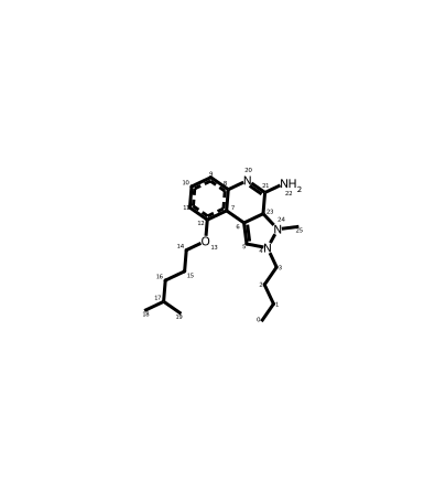 CCCCN1C=C2c3c(cccc3OCCCC(C)C)N=C(N)C2N1C